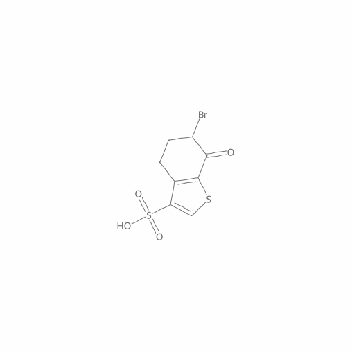 O=C1c2scc(S(=O)(=O)O)c2CCC1Br